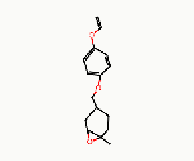 C=COc1ccc(OCC2CCC3(C)OC3C2)cc1